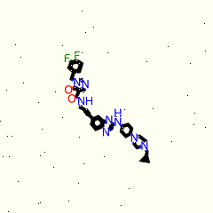 O=C(NCC#Cc1ccc2ncc(NC3CCC(N4CCN(CC5CC5)CC4)CC3)nc2c1)c1cncn(Cc2ccc(F)c(F)c2)c1=O